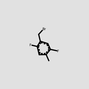 Cc1cc(F)c(CBr)cc1F